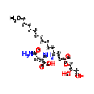 CCCCCCCCCCCCCC=CC(=O)OCC(O)CO.NC(=O)C[C@H](N)C(=O)O